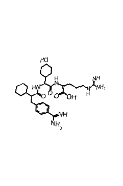 Cl.N=C(N)NCCCC(NC(=O)[C@@H](NC(=O)[C@@H](Cc1ccc(C(=N)N)cc1)C1CCCCC1)C1CCCCC1)C(=O)O